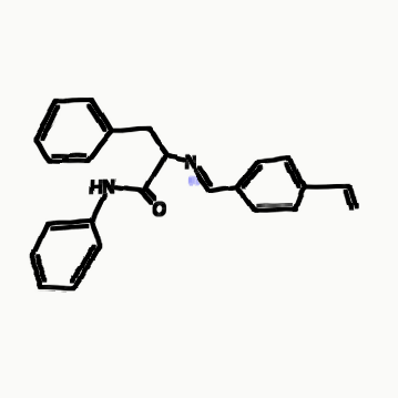 C=Cc1ccc(/C=N/C(Cc2ccccc2)C(=O)Nc2ccccc2)cc1